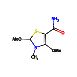 COC1=C(C(N)=O)SC(OC)N1C